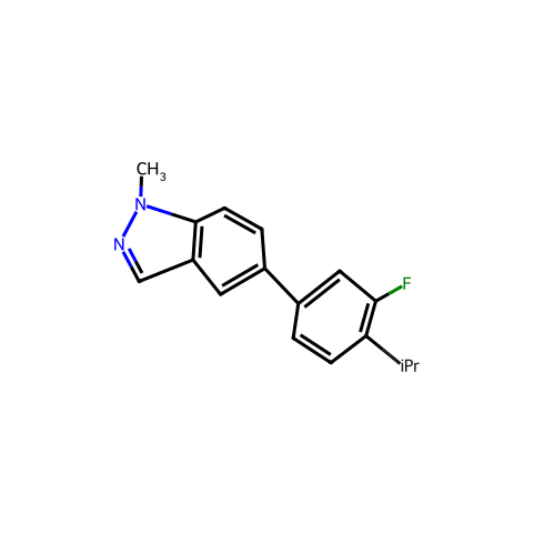 CC(C)c1ccc(-c2ccc3c(cnn3C)c2)cc1F